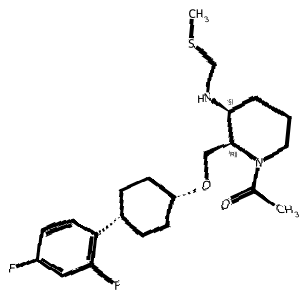 CSCN[C@H]1CCCN(C(C)=O)[C@H]1CO[C@H]1CC[C@@H](c2ccc(F)cc2F)CC1